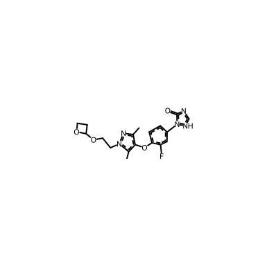 Cc1nn(CCOC2CCO2)c(C)c1Oc1ccc(-n2[nH]cnc2=O)cc1F